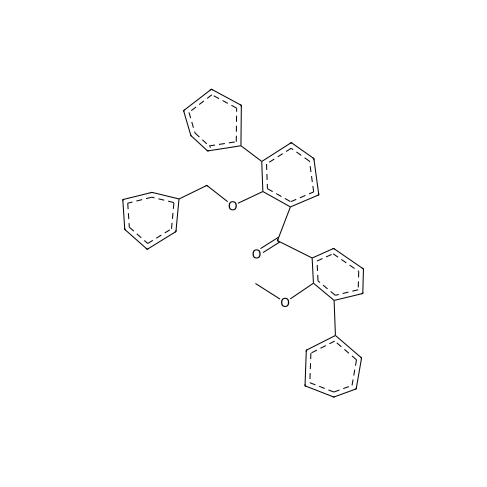 COc1c(C(=O)c2cccc(-c3ccccc3)c2OCc2ccccc2)cccc1-c1ccccc1